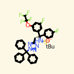 CC(C)(C)[S+]([O-])N[C@](Cc1nnn(C(c2ccccc2)(c2ccccc2)c2ccccc2)n1)(c1ccc(F)cc1)c1cc(F)cc(OC(F)(F)C(F)F)c1